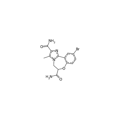 Cc1c(C(N)=O)nc2n1CC(C(N)=O)Oc1ccc(Br)cc1-2